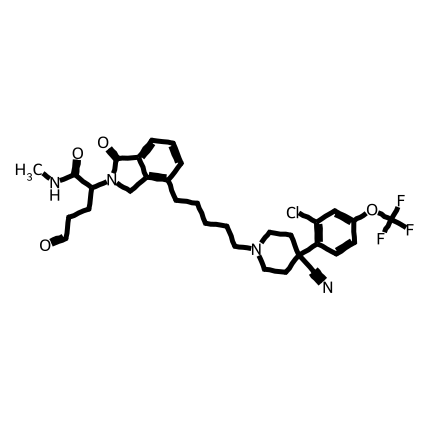 CNC(=O)C(CCC=O)N1Cc2c(CCCCCN3CCC(C#N)(c4ccc(OC(F)(F)F)cc4Cl)CC3)cccc2C1=O